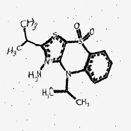 CC(C)c1sc2c([n+]1N)N(C(C)C)c1ccccc1S2(=O)=O